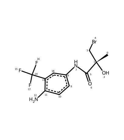 C[C@](O)(CBr)C(=O)Nc1ccc(N)c(C(F)(F)F)c1